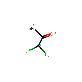 CCCC(=O)[C](F)F